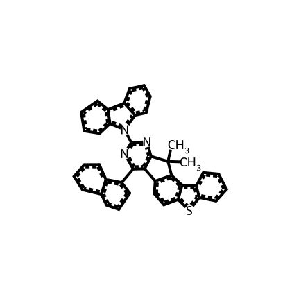 CC1(C)c2nc(-n3c4ccccc4c4ccccc43)nc(-c3cccc4ccccc34)c2-c2ccc3sc4ccccc4c3c21